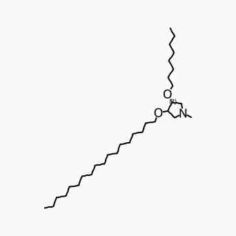 CCCCCCCCCCCCCCCCCCOC1CN(C)C[C@H]1OCCCCCCCC